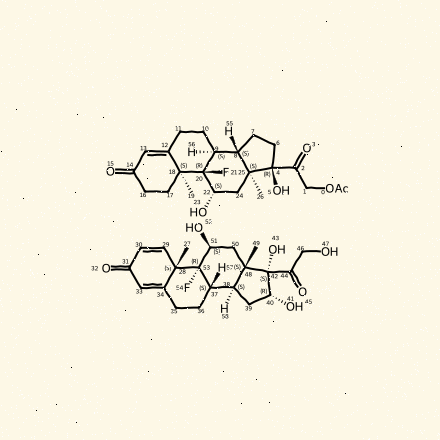 CC(=O)OCC(=O)[C@@]1(O)CC[C@H]2[C@@H]3CCC4=CC(=O)CC[C@]4(C)[C@@]3(F)[C@@H](O)C[C@@]21C.C[C@]12C=CC(=O)C=C1CC[C@H]1[C@@H]3C[C@@H](O)[C@](O)(C(=O)CO)[C@@]3(C)C[C@H](O)[C@@]12F